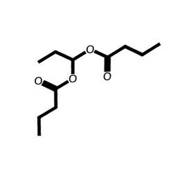 CCCC(=O)OC(CC)OC(=O)CCC